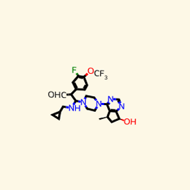 C[C@@H]1C[C@H](O)c2ncnc(N3CCN(C(NCC4CC4)C(C=O)c4ccc(OC(F)(F)F)c(F)c4)CC3)c21